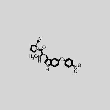 CN[C@@H](Cc1c[nH]c2ccc(Oc3ccc([N+](=O)[O-])cc3)cc12)C(=O)N1CCC[C@H]1C#N